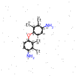 CCc1c(N)ccc(Oc2ccc(N)c(CC)c2CC)c1CC